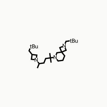 CC(CCC(C)(C)N1CCCC2(CN(CC(C)(C)C)C2)C1)N1CC(CC(C)(C)C)C1